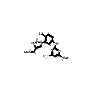 CCc1ccc(Nc2nc(C)cc(NC)n2)cc1-n1cc(CNC)nn1